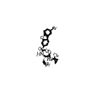 CC(C)C[C@H](NS(=O)(=O)c1ccc2c(c1)oc1ccc(Br)cc12)C(=O)NC1(C#N)CC1